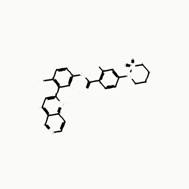 Cc1cc(N2CCCCS2(=O)=O)ccc1C(=O)Nc1ccc(Cl)c(-c2ccc3cnccc3n2)c1